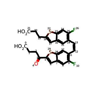 O=C(O)CCC(=O)c1cc2cc(F)c(/C=C\c3cc4cc(CCC(=O)O)sc4cc3F)cc2s1